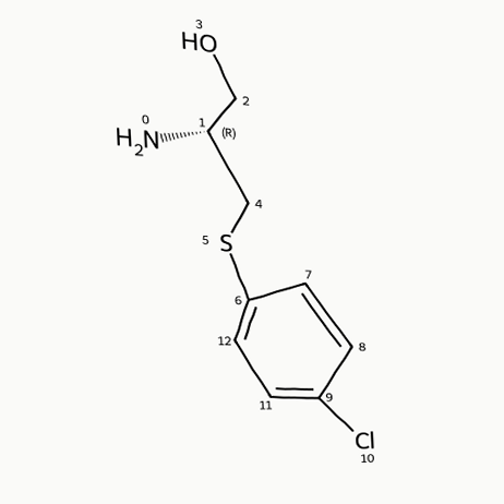 N[C@H](CO)CSc1ccc(Cl)cc1